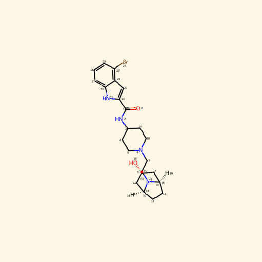 O=C(NC1CCN(CCN2[C@@H]3CC[C@H]2C[C@H](O)C3)CC1)c1cc2c(Br)cccc2[nH]1